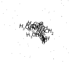 C=C[C@@H]1C[C@]1(NC(=O)[C@@H]1C[C@@]2(CN1C(=O)[C@@H](NC(=O)[C@@H](NC(=O)[C@@H]1CCCN1CC)C(C)(C)C)C1(C)CCOCC1)C(C)(C)C21CCC1)C(=O)NS(=O)(=O)N1CCCC1